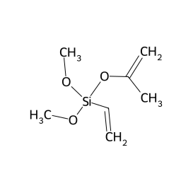 C=C[Si](OC)(OC)OC(=C)C